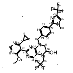 COc1ncnc(C2CC2)c1-c1ncc2c(n1)N(Cc1ccc(-c3nc(C(F)(F)F)cn3C)cc1)CC(O)N2CC(F)(F)F